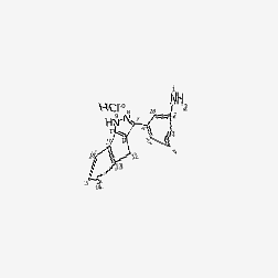 Cl.Nc1cccc(-c2n[nH]c3c2Cc2sccc2-3)c1